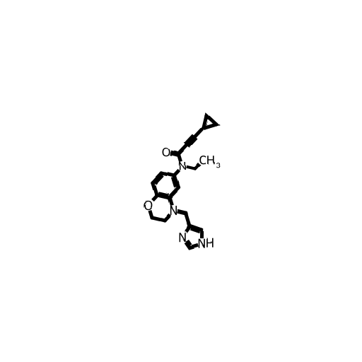 CCN(C(=O)C#CC1CC1)c1ccc2c(c1)N(Cc1c[nH]cn1)CCO2